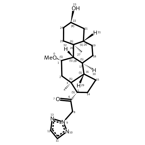 CO[C@H]1C[C@]2(C)[C@@H](C(=O)Cn3nccn3)CC[C@H]2[C@@H]2CC[C@H]3C[C@H](O)CC[C@]3(C)[C@H]21